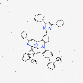 Cc1ccccc1-c1ccc2c(c1)c1cc(-c3ccccc3C)ccc1n2-c1ccc(-c2nc(-c3ccccc3)cc(-c3ccccc3)n2)cc1-c1cc(-c2ccccc2)nc(-c2ccccc2)n1